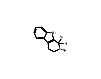 [2H]N1CCc2c([nH]c3ccccc23)C1([2H])[2H]